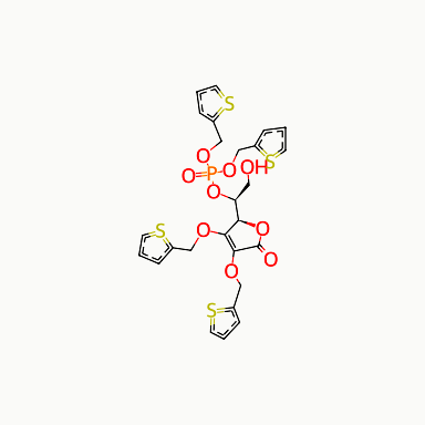 O=C1O[C@H]([C@H](CO)OP(=O)(OCc2cccs2)OCc2cccs2)C(OCc2cccs2)=C1OCc1cccs1